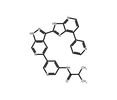 CC(C)C(=O)Nc1cncc(-c2cc3c(-c4nc5c(-c6cccnc6)ccnc5[nH]4)n[nH]c3cn2)c1